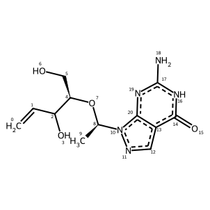 C=CC(O)[C@@H](CO)O[C@H](C)n1ncc2c(=O)[nH]c(N)nc21